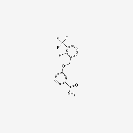 NC(=O)c1cccc(OCc2cccc(C(F)(F)F)c2F)c1